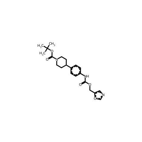 CC(C)(C)OC(=O)N1CCC(c2ccc(NC(=O)OCc3cnco3)cc2)CC1